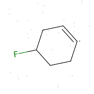 FC1CC=[C]CC1